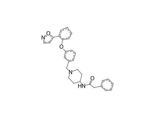 O=C(Cc1ccccc1)NC1CCN(Cc2cccc(Oc3ccccc3-c3ccno3)c2)CC1